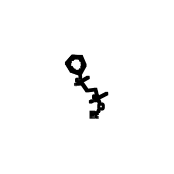 CCO[Si](C)(C)CC[Si](C)(C)c1ccccc1